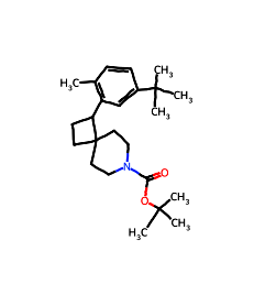 Cc1ccc(C(C)(C)C)cc1C1CCC12CCN(C(=O)OC(C)(C)C)CC2